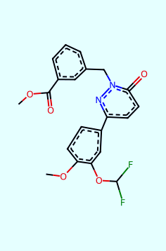 COC(=O)c1cccc(Cn2nc(-c3ccc(OC)c(OC(F)F)c3)ccc2=O)c1